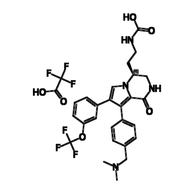 CN(C)Cc1ccc(-c2c(-c3cccc(OC(F)(F)F)c3)cn3c2C(=O)NC[C@@H]3CCNC(=O)O)cc1.O=C(O)C(F)(F)F